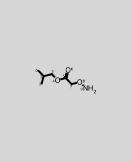 CC(C)COC(=O)CON